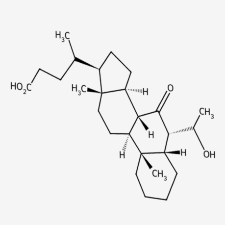 CC(O)[C@H]1C(=O)[C@@H]2[C@H](CC[C@]3(C)[C@@H](C(C)CCC(=O)O)CC[C@@H]23)[C@@]2(C)CCCC[C@@H]12